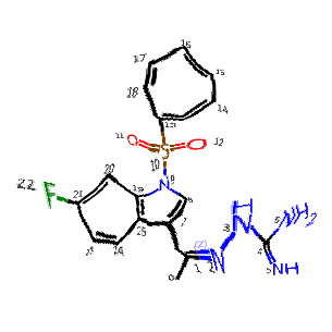 C/C(=N/NC(=N)N)c1cn(S(=O)(=O)c2ccccc2)c2cc(F)ccc12